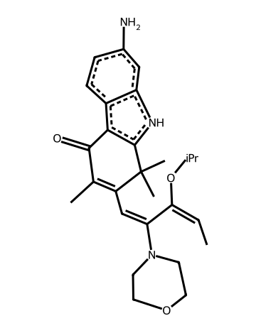 C/C=C(OC(C)C)\C(=C/C1=C(C)C(=O)c2c([nH]c3cc(N)ccc23)C1(C)C)N1CCOCC1